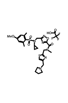 COc1cc(C)c(S(=O)(=O)N(Cc2noc(C(=O)N(C)Cc3nc(CN4CCCC4)cs3)n2)C2CC2)c(C)c1.O=C(O)C(F)(F)F